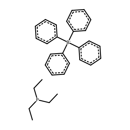 CCP(CC)CC.c1ccc([B-](c2ccccc2)(c2ccccc2)c2ccccc2)cc1